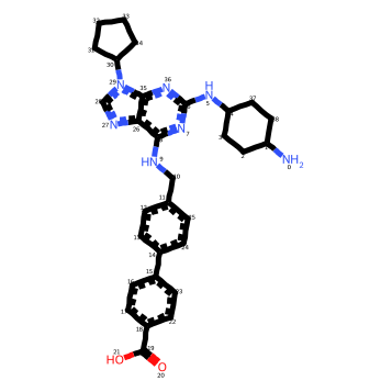 NC1CCC(Nc2nc(NCc3ccc(-c4ccc(C(=O)O)cc4)cc3)c3ncn(C4CCCC4)c3n2)CC1